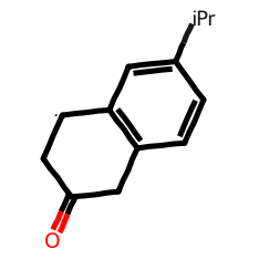 CC(C)c1ccc2c(c1)[CH]CC(=O)C2